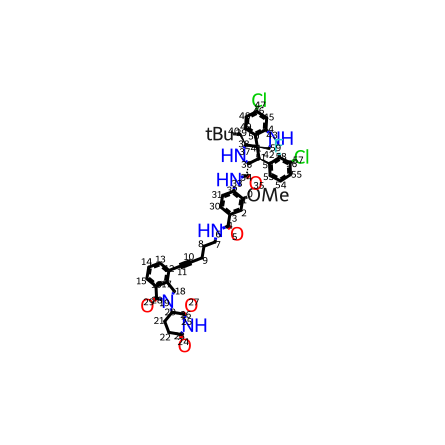 COc1cc(C(=O)NCCCC#Cc2cccc3c2CN([C@@H]2CCC(=O)NC2=O)C3=O)ccc1NC(=O)[C@@H]1N[C@@H](CC(C)(C)C)[C@@]2(CNc3cc(Cl)ccc32)[C@H]1c1cccc(Cl)c1F